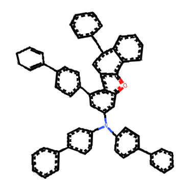 C1=CC(c2ccc(-c3cc(N(c4ccc(-c5ccccc5)cc4)c4ccc(-c5ccccc5)cc4)cc4oc5c6ccccc6c(-c6ccccc6)cc5c34)cc2)=CCC1